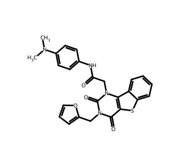 CN(C)c1ccc(NC(=O)Cn2c(=O)n(Cc3ccco3)c(=O)c3sc4ccccc4c32)cc1